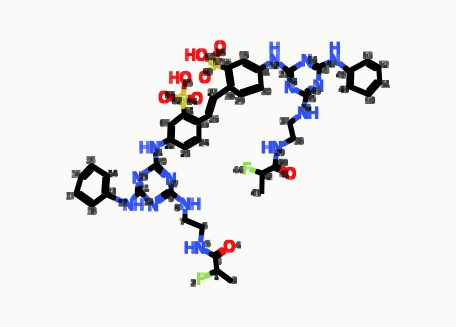 CC(F)C(=O)NCCNc1nc(Nc2ccccc2)nc(Nc2ccc(/C=C/c3ccc(Nc4nc(NCCNC(=O)C(C)F)nc(Nc5ccccc5)n4)cc3S(=O)(=O)O)c(S(=O)(=O)O)c2)n1